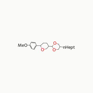 CCCCCCCC1COC(C2CCC(c3ccc(OC)cc3)OC2)OC1